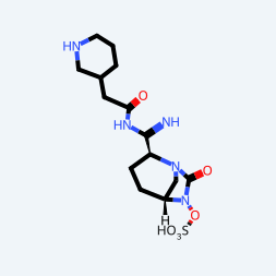 N=C(NC(=O)CC1CCCNC1)[C@@H]1CC[C@@H]2CN1C(=O)N2OS(=O)(=O)O